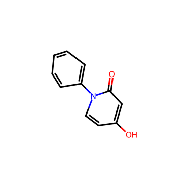 O=c1cc(O)ccn1-c1ccccc1